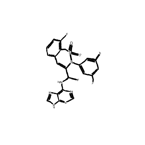 O=S1(=O)c2c(F)cccc2C=C(C(F)Nc2ncnc3[nH]cnc23)N1c1cc(F)cc(F)c1